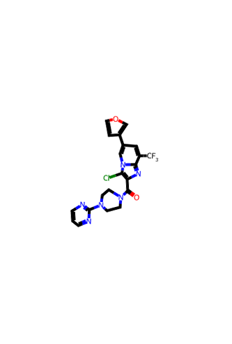 O=C(c1nc2c(C(F)(F)F)cc(-c3ccoc3)cn2c1Cl)N1CCN(c2ncccn2)CC1